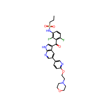 CCCS(=O)(=O)Nc1ccc(F)c(C(=O)c2c[nH]c3ncc(-c4ccc(OCCN5CCOCC5)nc4)cc23)c1F